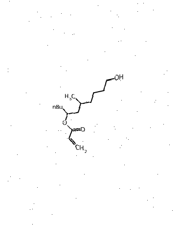 C=CC(=O)OC(CCCC)CC(C)CCCCO